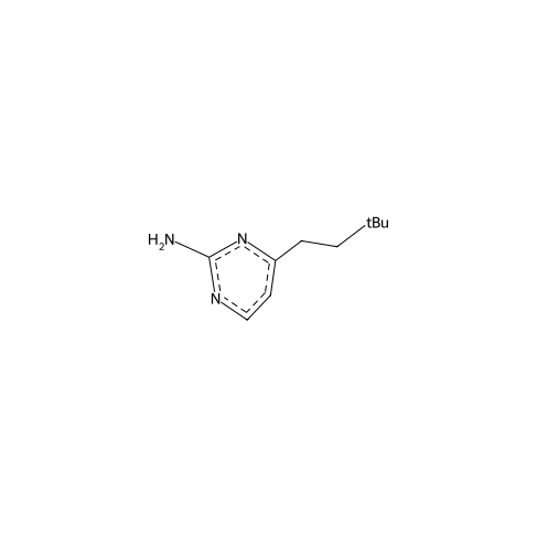 CC(C)(C)CCc1ccnc(N)n1